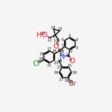 O=C1c2ccccc2[C@@](OCC2(CO)CC2)(c2ccc(Cl)cc2)N1Cc1ccc(Br)cc1